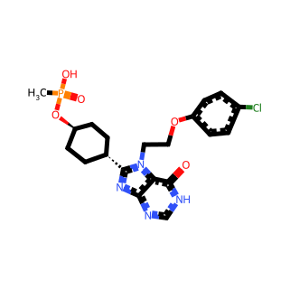 CP(=O)(O)O[C@H]1CC[C@H](c2nc3nc[nH]c(=O)c3n2CCOc2ccc(Cl)cc2)CC1